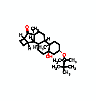 CC(C)(C)[Si](C)(C)O[C@H]1CC[C@]2(C)[C@H]3CC[C@]4(C)C(=O)[C@H]5CC[C@H]5[C@H]4[C@@H]3CC[C@]2(O)C1